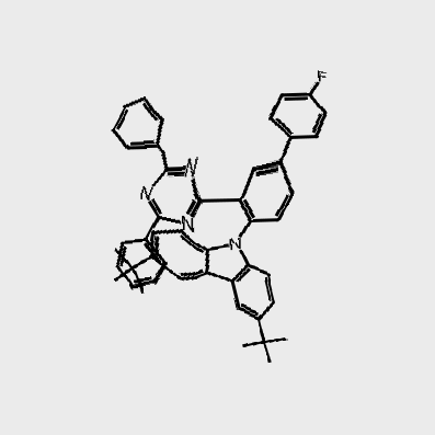 CC(C)(C)c1ccc2c(c1)c1cc(C(C)(C)C)ccc1n2-c1ccc(-c2ccc(F)cc2)cc1-c1nc(-c2ccccc2)nc(-c2ccccc2)n1